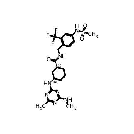 CNc1nc(C)nc(N[C@@H]2CCC[C@H](C(=O)NCc3ccc(NS(C)(=O)=O)cc3C(F)(F)F)C2)n1